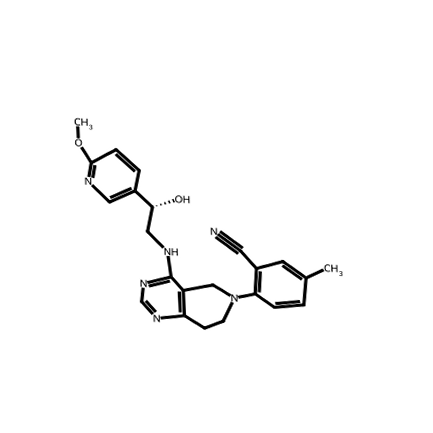 COc1ccc([C@H](O)CNc2ncnc3c2CN(c2ccc(C)cc2C#N)CC3)cn1